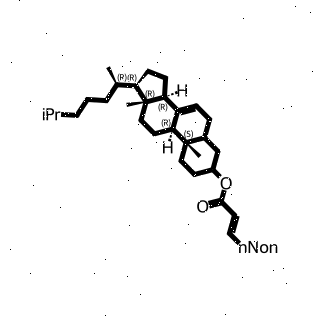 CCCCCCCCCC=CC(=O)OC1CC[C@@]2(C)C(CC=C3[C@@H]4CC[C@H]([C@H](C)CCCC(C)C)[C@@]4(C)CC[C@@H]32)C1